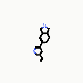 C=Cc1cncc(C2=CC3CNCC3CC2)c1